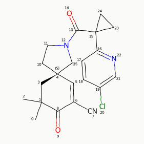 CC1(C)C[C@@]2(C=C(C#N)C1=O)CCN(C(=O)C1(c3ccc(Cl)cn3)CC1)C2